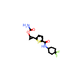 NC(=O)OC1CC1c1ccc(C(=O)NC2CCC(F)(F)CC2)s1